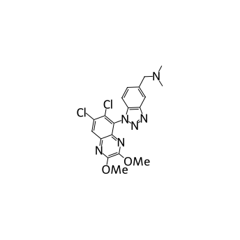 COc1nc2cc(Cl)c(Cl)c(-n3nnc4cc(CN(C)C)ccc43)c2nc1OC